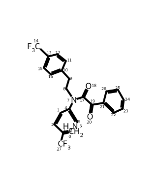 C=C(/C=C\C(=C/N)N(CCc1ccc(C(F)(F)F)cc1)C(=O)C(=O)c1ccccc1)C(F)(F)F